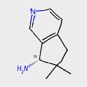 CC1(C)Cc2ccncc2[C@H]1N